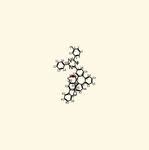 Cc1cccc(-c2nc(-c3ccccc3)nc(-c3ccc4c(c3)C3(c5ccccc5Sc5cc6c(cc53)oc3ccccc36)c3ccccc3-c3ccccc3-4)n2)c1